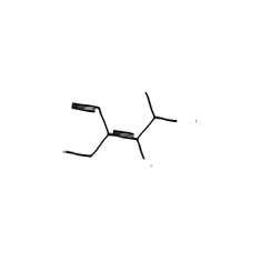 C=C/C(CCl)=C(/O)C(C)OC